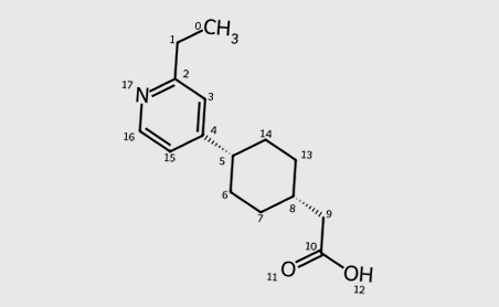 CCc1cc([C@H]2CC[C@@H](CC(=O)O)CC2)ccn1